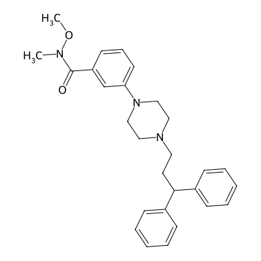 CON(C)C(=O)c1cccc(N2CCN(CCC(c3ccccc3)c3ccccc3)CC2)c1